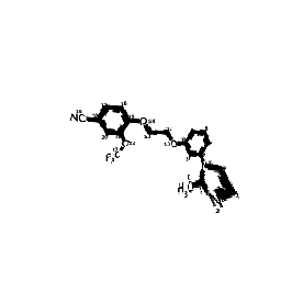 Cc1nccn1-c1cccc(OCCOc2ccc(C#N)cc2OC(F)(F)F)c1